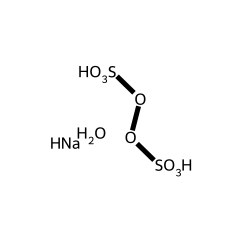 O.O=S(=O)(O)OOS(=O)(=O)O.[NaH]